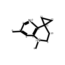 Cc1cnc2c(c1)N(C)CCC21CC1